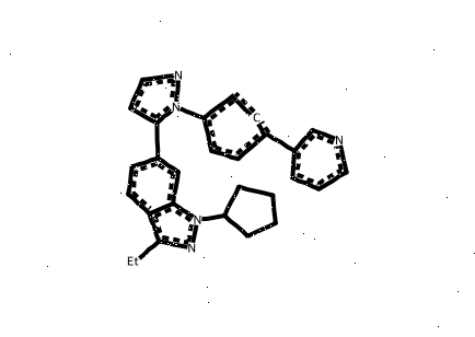 CCc1nn(C2CCCC2)c2cc(-c3ccnn3-c3ccc(-c4cccnc4)cc3)ccc12